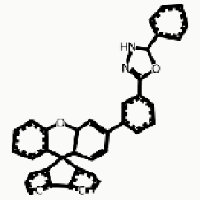 C1=CC2C(C=C1c1cccc(C3=NNC(c4ccccc4)O3)c1)Oc1ccccc1C21c2ccccc2-c2ccccc21